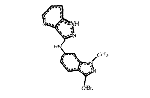 CC(C)COc1nn(C)c2cc(Nc3n[nH]c4cccnc34)ccc12